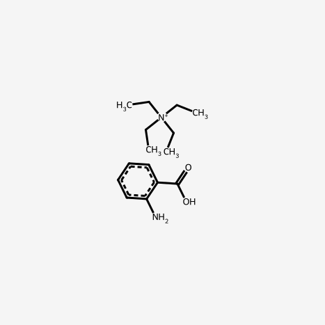 CC[N+](CC)(CC)CC.Nc1ccccc1C(=O)O